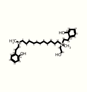 CN(CCCCCCCCCCC[N+](C)(CCO)CCc1ccccc1O)CCc1ccccc1O